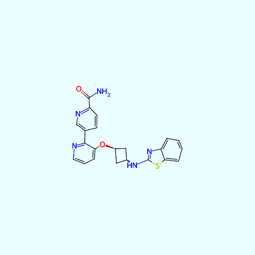 NC(=O)c1ccc(-c2ncccc2O[C@H]2C[C@@H](Nc3nc4ccccc4s3)C2)cn1